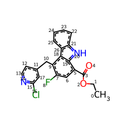 CCOC(=O)c1cc(F)c(Cc2ccnc(Cl)c2)c2c1[nH]c1ccccc12